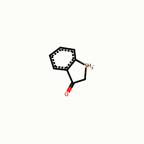 O=C1C[SH3]c2ccccc21